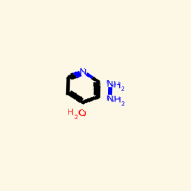 NN.O.c1ccncc1